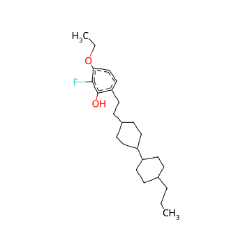 CCCC1CCC(C2CCC(CCc3ccc(OCC)c(F)c3O)CC2)CC1